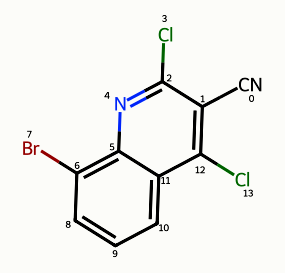 N#Cc1c(Cl)nc2c(Br)cccc2c1Cl